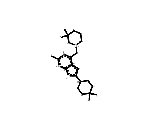 Cc1nc(CN2CCCC(C)(C)C2)c2cc(C3CCC(C)(C)CC3)sc2n1